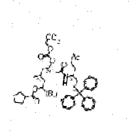 CC(=O)CC[C@@H](CSC(c1ccccc1)(c1ccccc1)c1ccccc1)NC(=O)C[C@H](C[C@H](C)CC(OC(=O)C1CCCC1)C(C)(C)C)OC(=O)OCC(Cl)(Cl)Cl